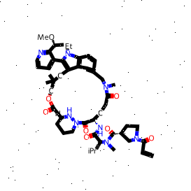 C=CC(=O)N1CC[C@@H](C(=O)N(C)C(C(=O)N[C@H]2CCC(=O)N(C)Cc3ccc4c(c3)c(c(-c3cccnc3[C@H](C)OC)n4CC)CC(C)(C)COC(=O)[C@@H]3CCCN(N3)C2=O)C(C)C)C1